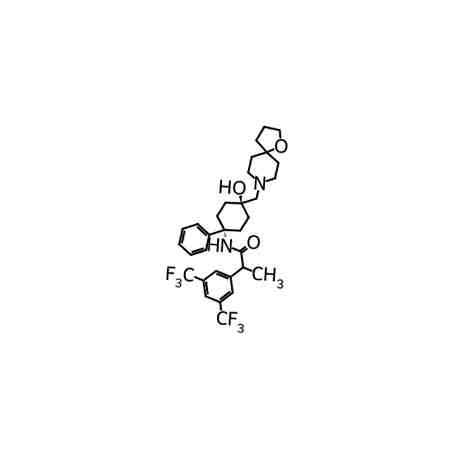 CC(C(=O)N[C@]1(c2ccccc2)CC[C@](O)(CN2CCC3(CCCO3)CC2)CC1)c1cc(C(F)(F)F)cc(C(F)(F)F)c1